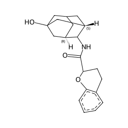 O=C(NC1[C@@H]2CC3C[C@H]1CC(O)(C3)C2)C1CCc2ccccc2O1